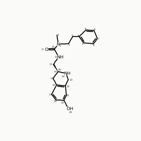 CN(CCc1ccccc1)C(=O)NC[C@@H]1Cc2ccc(O)cc2CN1